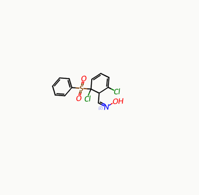 O=S(=O)(c1ccccc1)C1(Cl)C=CC=C(Cl)C1/C=N\O